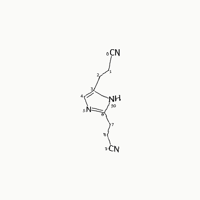 N#CCCc1cnc(CCC#N)[nH]1